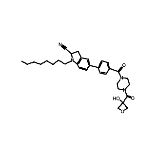 CCCCCCCCN1c2ccc(-c3ccc(C(=O)N4CCN(C(=O)C5(O)COC5)CC4)cc3)cc2CC1C#N